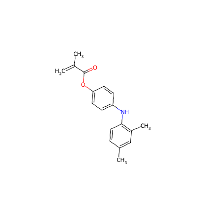 C=C(C)C(=O)Oc1ccc(Nc2ccc(C)cc2C)cc1